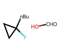 CCCCC1(F)CC1.O=CO